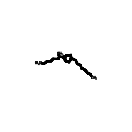 [CH2]CCCCCC(C)c1ccc(CCCCCCCC)cc1